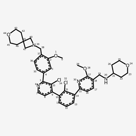 COc1cc(-c2nccc(-c3cccc(-c4ccc(CNC5CCOCC5)c(OC)n4)c3Cl)c2Cl)ccc1CN1CC2(CCOCC2)C1